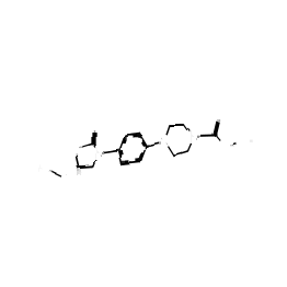 CC(C)(C)OC(=O)N1CCN(c2ccc(N3C[C@H](CO)OC3=O)cc2)CC1